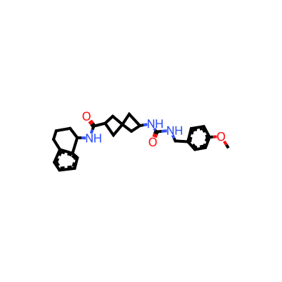 COc1ccc(CNC(=O)NC2CC3(C2)CC(C(=O)NC2CCCc4ccccc42)C3)cc1